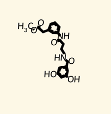 COC(=O)Cc1cccc(NC(=O)CCCNC(=O)c2cc(O)cc(O)c2)c1